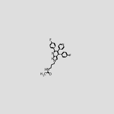 CC(=O)NCCCn1cc2c(-c3ccc(F)cc3)c(-c3ccncc3)c(-c3ccc(F)cc3)nc2n1